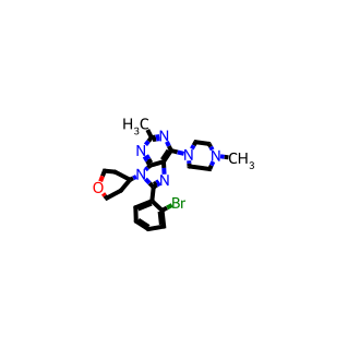 Cc1nc(N2CCN(C)CC2)c2nc(-c3ccccc3Br)n(C3CCOCC3)c2n1